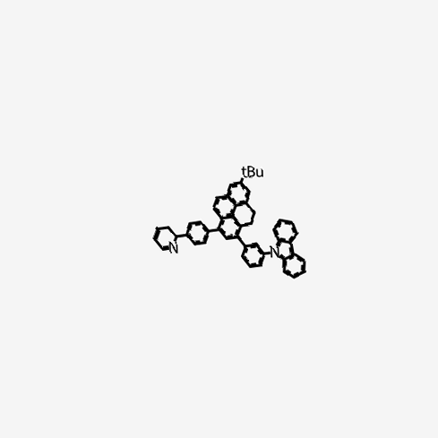 CC(C)(C)c1cc2c3c(ccc4c(-c5ccc(C6CC=CC=N6)cc5)cc(-c5cccc(-n6c7ccccc7c7ccccc76)c5)c(c43)CC2)c1